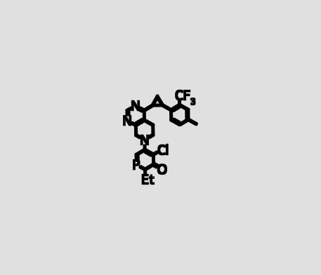 CCC1P=CC(N2CCc3c(ncnc3C3CC3c3ccc(C)cc3C(F)(F)F)C2)=C(Cl)C1=O